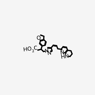 O=C(O)CC(Cn1cc(/C=C\Cc2ccc3c(n2)NCCC3)cn1)c1ccc2c(c1)OCC2